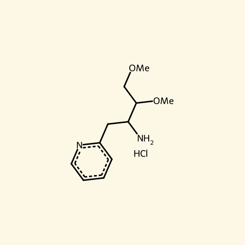 COCC(OC)C(N)Cc1ccccn1.Cl